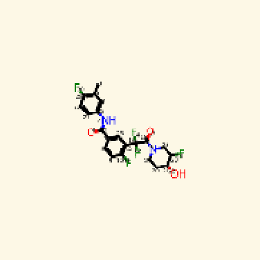 Cc1cc(NC(=O)c2ccc(F)c(C(F)(F)C(=O)N3CCC(O)C(F)C3)c2)ccc1F